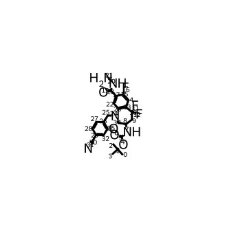 CC(C)(C)OC(=O)NC1CC(F)(F)c2cc(F)c(C(=O)NN)cc2N(Cc2ccc(C#N)cc2)C1=O